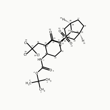 CC(C)(C)OC(=O)NC1CCN(S(=O)(=O)N2[C@@H]3CC[C@H]2C[C@@H](NC(=O)OCC(Cl)(Cl)Cl)C3)CC1